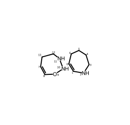 C1=CNCCCC1.C1=CONNCC1